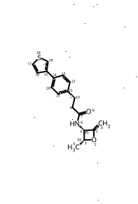 C=C1O[C@@H](C)[C@H]1NC(=O)CCc1ccc(-c2ccsc2)cc1